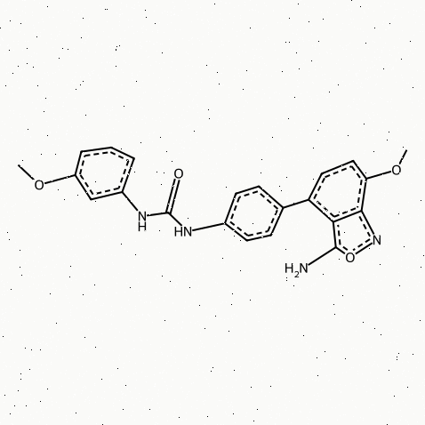 COc1cccc(NC(=O)Nc2ccc(-c3ccc(OC)c4noc(N)c34)cc2)c1